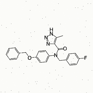 Cc1[nH]nnc1C(=O)N(Cc1ccc(F)cc1)c1ccc(OCc2ccccc2)cc1